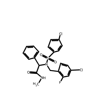 CNC(=O)C(c1ccccc1)N(Cc1ccc(Cl)cc1F)S(=O)(=O)c1ccc(Cl)cc1